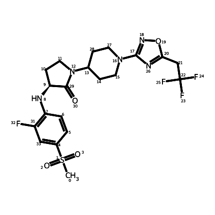 CS(=O)(=O)c1ccc(N[C@H]2CCN(C3CCN(c4noc(CC(F)(F)F)n4)CC3)C2=O)c(F)c1